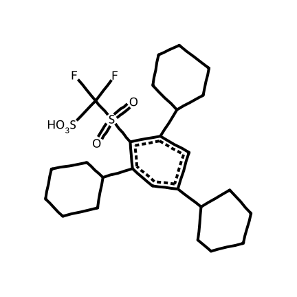 O=S(=O)(O)C(F)(F)S(=O)(=O)c1c(C2CCCCC2)cc(C2CCCCC2)cc1C1CCCCC1